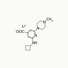 CN1CCN(c2cc(C(=O)[O-])cc(NC3CCC3)n2)CC1.[Li+]